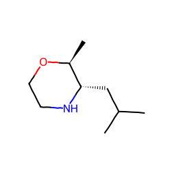 CC(C)C[C@@H]1NCCO[C@H]1C